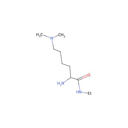 CCNC(=O)C(N)CCCCN(C)C